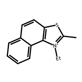 CC[n+]1c(C)sc2ccc3ccccc3c21